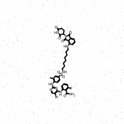 Cc1cc(S(=O)(=O)NCCCCCCCCNc2cccc3c2C(=O)N(C2CCC(=O)NC2=O)C3=O)ccc1Nc1ncc(Br)c(Nc2cccc(F)c2C(N)=O)n1